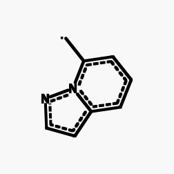 [CH2]c1cccc2ccnn12